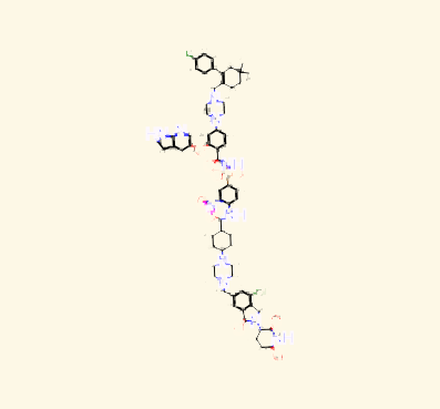 C[C@@H]1CN(C2CCC(CNc3ccc(S(=O)(=O)NC(=O)c4ccc(N5CCN(CC6=C(c7ccc(Cl)cc7)CC(C)(C)CC6)CC5)cc4Oc4cnc5[nH]ccc5c4)cc3[N+](=O)[O-])CC2)CCN1Cc1cc(Br)c2c(c1)C(=O)N(C1CCC(=O)NC1=O)C2